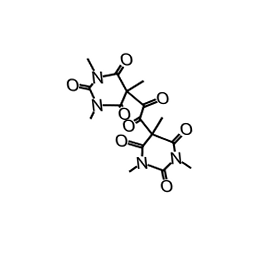 CN1C(=O)N(C)C(=O)C(C)(C(=O)C(=O)C2(C)C(=O)N(C)C(=O)N(C)C2=O)C1=O